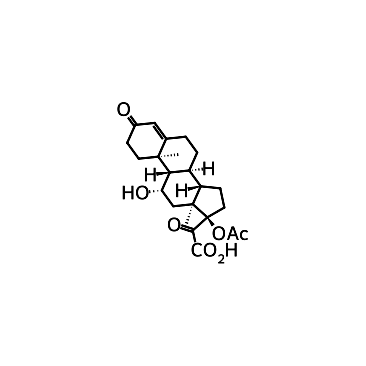 CC(=O)O[C@]1(C(=O)C(=O)O)CC[C@H]2[C@@H]3CCC4=CC(=O)CC[C@]4(C)[C@H]3[C@@H](O)C[C@@]21C